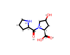 O=C(O)[C@@H]1CC(O)CN1C(=O)C1CCCN1